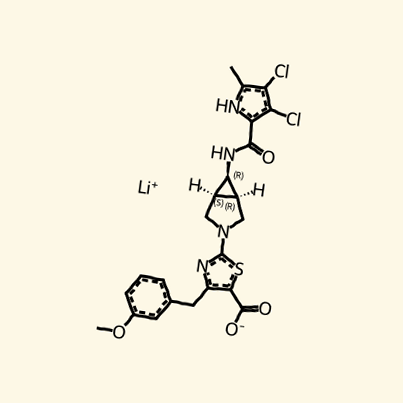 COc1cccc(Cc2nc(N3C[C@@H]4[C@H](C3)[C@@H]4NC(=O)c3[nH]c(C)c(Cl)c3Cl)sc2C(=O)[O-])c1.[Li+]